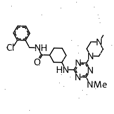 CNc1nc(NC2CCCC(C(=O)NCc3ccccc3Cl)C2)nc(N2CCN(C)CC2)n1